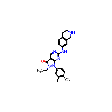 Cc1cc(-n2c3nc(Nc4ccc5c(c4)CNCC5)ncc3c(=O)n2CC(F)(F)F)ccc1C#N